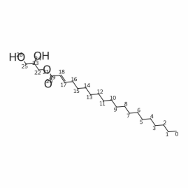 CCCCCCCCCCCCCCCCCC=CC(=O)OCC(O)CO